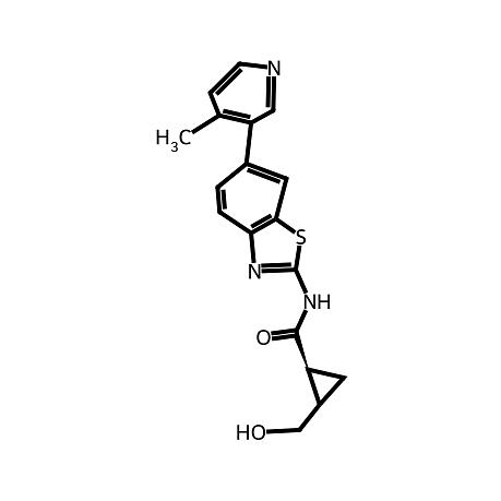 Cc1ccncc1-c1ccc2nc(NC(=O)[C@H]3CC3CO)sc2c1